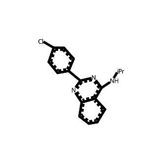 CC(C)Nc1nc(-c2ccc(Cl)cc2)nc2ccccc12